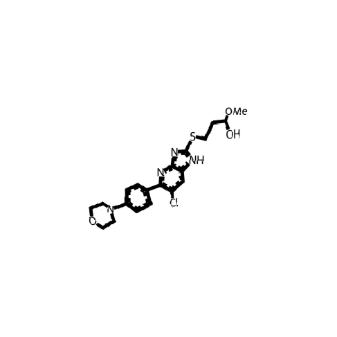 COC(O)CCSc1nc2nc(-c3ccc(N4CCOCC4)cc3)c(Cl)cc2[nH]1